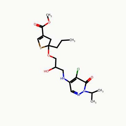 CCCC1(OCC(O)CNc2cnn(C(C)C)c(=O)c2Cl)CC(C(=O)OC)=CS1